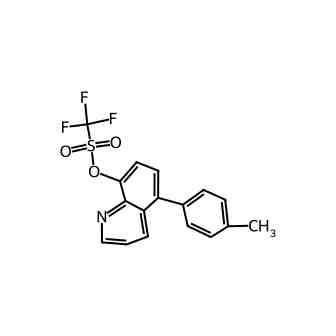 Cc1ccc(-c2ccc(OS(=O)(=O)C(F)(F)F)c3ncccc23)cc1